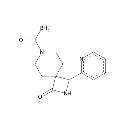 BC(=O)N1CCC2(CC1)C(=O)NC2c1ccccn1